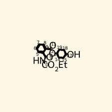 CCOC(=O)NC(=O)c1ccccc1C(=O)OC1CCC(O)CC1